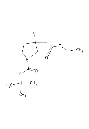 CCOC(=O)CC1(C)CCN(C(=O)OC(C)(C)C)C1